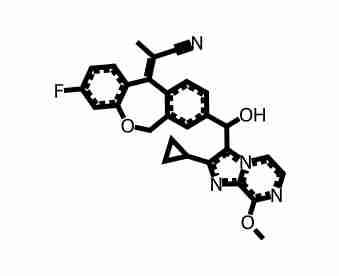 COc1nccn2c(C(O)c3ccc4c(c3)COc3cc(F)ccc3/C4=C(\C)C#N)c(C3CC3)nc12